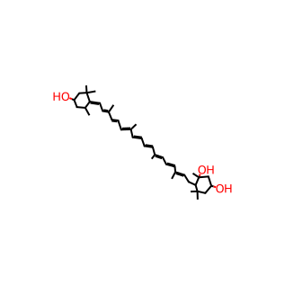 CC(/C=C/C=C/C(C)=C/C=C/C(C)=C/CC1C(C)(C)CC(O)CC1(C)O)=C\C=C\C(C)=C\C=C1/C(C)CC(O)CC1(C)C